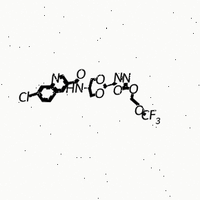 O=C(N[C@H]1CO[C@H](c2nnc(OCCOC(F)(F)F)o2)OC1)c1cnc2cc(Cl)ccc2c1